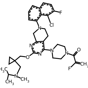 C=C(F)C(=O)N1CCN(c2nc(OCC3(CN(C)C(C)C)CC3)nc3c2CCN(c2cccc4ccc(F)c(Cl)c24)C3)CC1